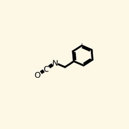 O=C=NCc1c[c]ccc1